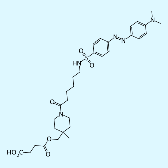 CN(C)c1ccc(/N=N/c2ccc(S(=O)(=O)NCCCCCC(=O)N3CCC(C)(COC(=O)CCC(=O)O)CC3)cc2)cc1